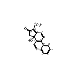 O=C(O)C1=C2C=Cc3c(ccc4ccccc34)C2(O)CC1=O